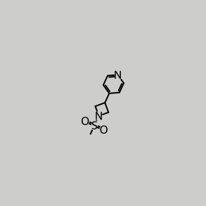 CS(=O)(=O)N1CC(c2ccncc2)C1